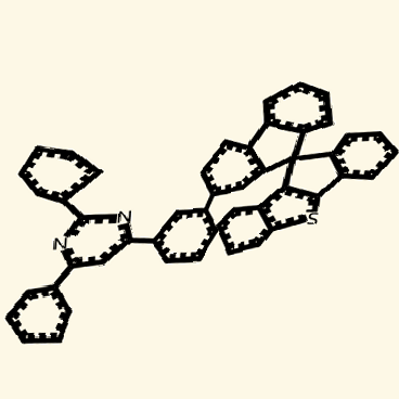 c1ccc(-c2cc(-c3cccc(-c4ccc5c(c4)C4(c6ccccc6-5)c5ccccc5-c5sc6ccccc6c54)c3)nc(-c3ccccc3)n2)cc1